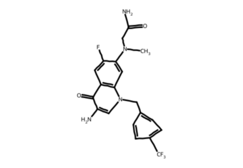 CN(CC(N)=O)c1cc2c(cc1F)c(=O)c(N)cn2Cc1ccc(C(F)(F)F)cc1